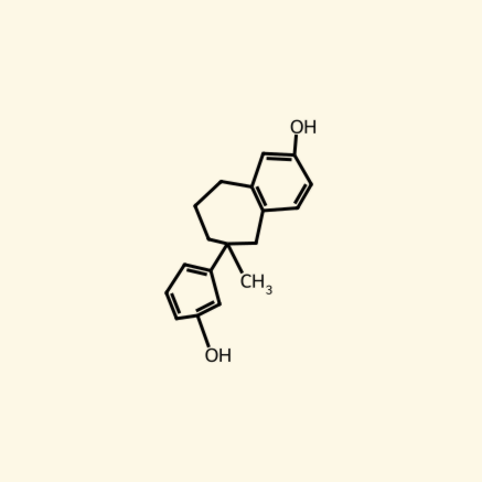 CC1(c2cccc(O)c2)CCCc2cc(O)ccc2C1